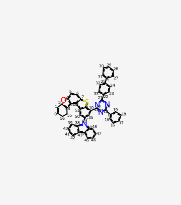 C1=Cc2oc3ccc4sc5c(-c6nc(-c7ccccc7)nc(-c7ccc(-c8ccccc8)cc7)n6)cc(-n6c7ccccc7c7ccccc76)cc5c4c3c2CC1